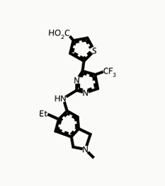 CCc1cc2c(cc1Nc1ncc(C(F)(F)F)c(-c3cc(C(=O)O)cs3)n1)CN(C)C2